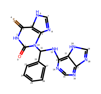 O=c1[nH]c(=S)c2[nH]cnc2n1C(Nc1ncnc2nc[nH]c12)c1ccccc1